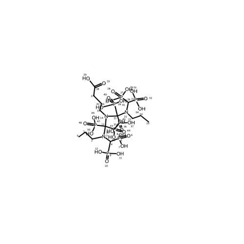 CCCN(C(P(=O)(O)O)P(=O)(O)O)C(N(CCCC(=O)O)C(N(CCC)C(P(=O)(O)O)P(=O)(O)O)(P(=O)(O)O)P(=O)(O)O)(P(=O)(O)O)P(=O)(O)O